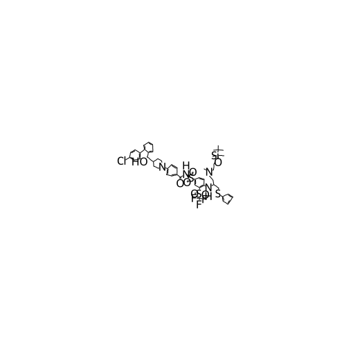 CN(CCO[Si](C)(C)C(C)(C)C)CCC(CSc1ccccc1)Nc1ccc(S(=O)(=O)NC(=O)c2ccc(N3CCC([C@@H](O)c4ccccc4-c4ccc(Cl)cc4)CC3)cc2)cc1S(=O)(=O)C(F)(F)F